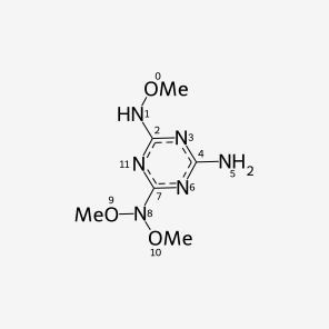 CONc1nc(N)nc(N(OC)OC)n1